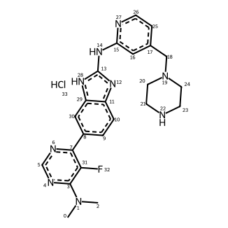 CN(C)c1ncnc(-c2ccc3nc(Nc4cc(CN5CCNCC5)ccn4)[nH]c3c2)c1F.Cl